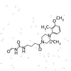 COc1cccc(N2CCN(C(=O)CCCNC(=O)NC=O)C[C@@H]2C)c1C